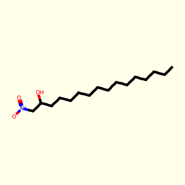 CCCCCCCCCCCCCCC(O)C[N+](=O)[O-]